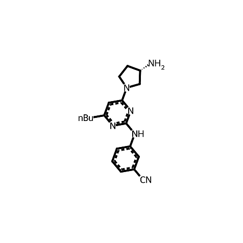 CCCCc1cc(N2CC[C@H](N)C2)nc(Nc2cccc(C#N)c2)n1